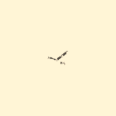 N.O=C=[N][Au]